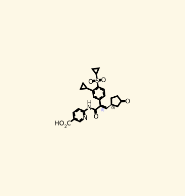 O=C1CC[C@H](/C=C(/C(=O)Nc2ccc(C(=O)O)cn2)c2ccc(S(=O)(=O)C3CC3)c(C3CC3)c2)C1